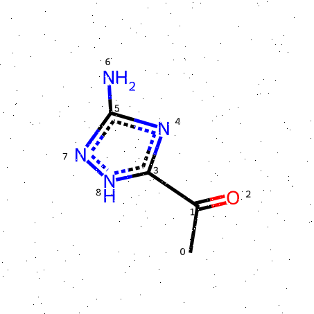 CC(=O)c1nc(N)n[nH]1